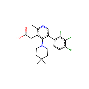 Cc1ncc(-c2ccc(F)c(F)c2F)c(N2CCC(C)(C)CC2)c1CC(=O)O